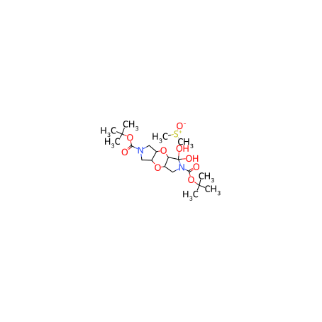 CC(C)(C)OC(=O)N1CC2OC3CN(C(=O)OC(C)(C)C)C(O)(O)C3OC2C1.C[S+](C)[O-]